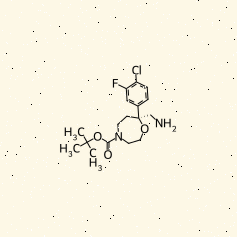 CC(C)(C)OC(=O)N1CCO[C@](CN)(c2ccc(Cl)c(F)c2)CC1